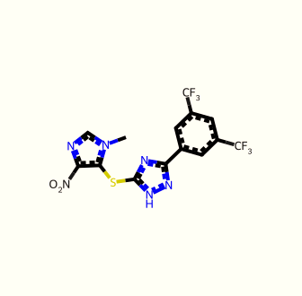 Cn1cnc([N+](=O)[O-])c1Sc1nc(-c2cc(C(F)(F)F)cc(C(F)(F)F)c2)n[nH]1